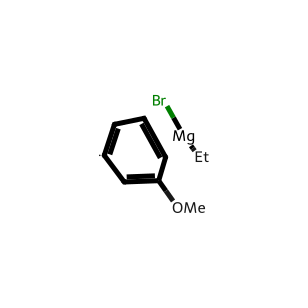 COc1c[c]ccc1.C[CH2][Mg][Br]